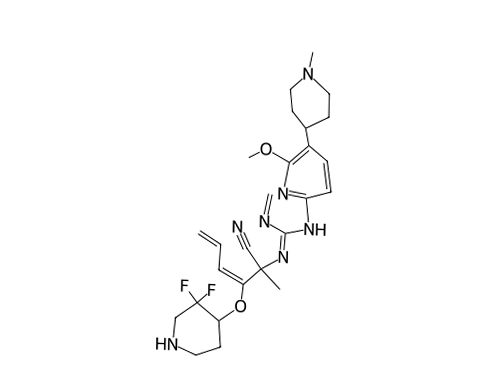 C=C/C=C(/OC1CCNCC1(F)F)C(C)(C#N)/N=C(\N=C)Nc1ccc(C2CCN(C)CC2)c(OC)n1